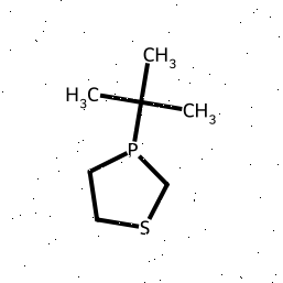 CC(C)(C)P1CCSC1